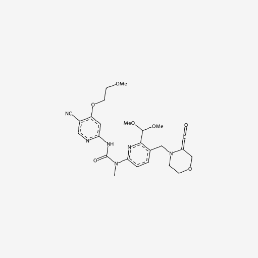 COCCOc1cc(NC(=O)N(C)c2ccc(CN3CCOCC3=C=O)c(C(OC)OC)n2)ncc1C#N